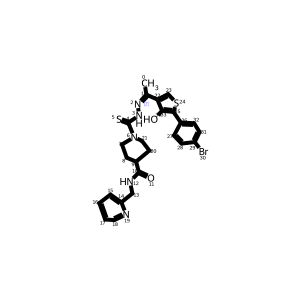 C/C(=N/NC(=S)N1CCC(C(=O)NCc2ccccn2)CC1)c1csc(-c2ccc(Br)cc2)c1O